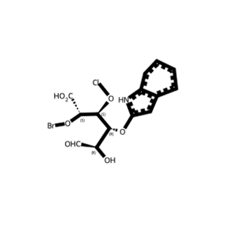 O=C[C@H](O)[C@@H](Oc1cc2ccccc2[nH]1)[C@H](OCl)[C@H](OBr)C(=O)O